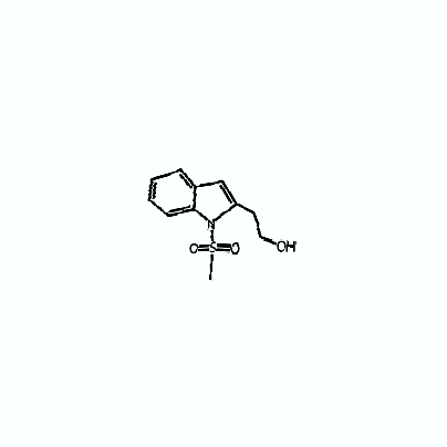 CS(=O)(=O)n1c(CCO)cc2ccccc21